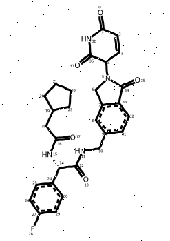 O=C1C=CC(N2Cc3cc(CNC(=O)[C@@H](NC(=O)CC4CCCC4)c4ccc(F)cc4)ccc3C2=O)C(=O)N1